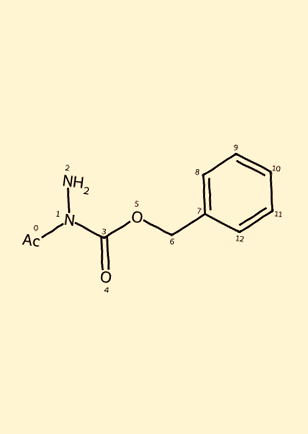 CC(=O)N(N)C(=O)OCc1ccccc1